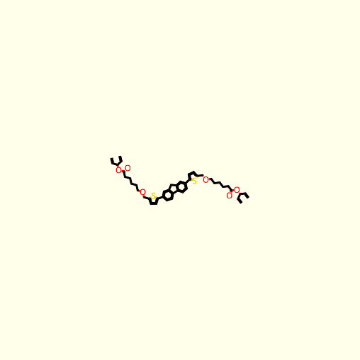 C=CC(C=C)OC(=O)CCCCCOCc1ccc(-c2ccc3c(c2)Cc2cc(-c4ccc(COCCCCCC(=O)OC(C=C)C=C)s4)ccc2-3)s1